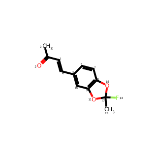 CC(=O)/C=C/c1ccc2c(c1)OC(C)(F)O2